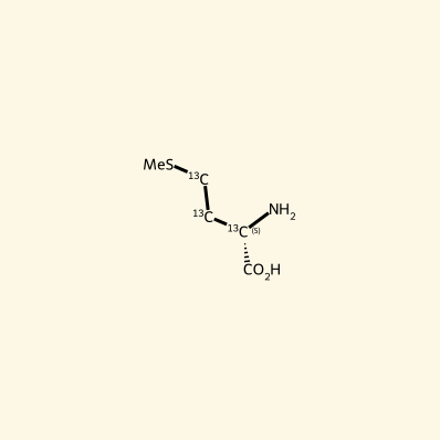 [13CH3]S[13CH2][13CH2][13C@H](N)[13C](=O)O